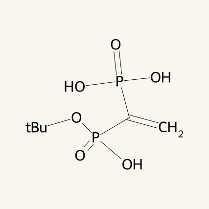 C=C(P(=O)(O)O)P(=O)(O)OC(C)(C)C